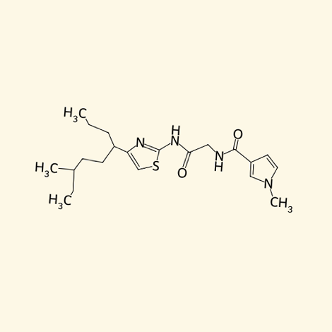 CCCC(CCC(C)CC)c1csc(NC(=O)CNC(=O)c2ccn(C)c2)n1